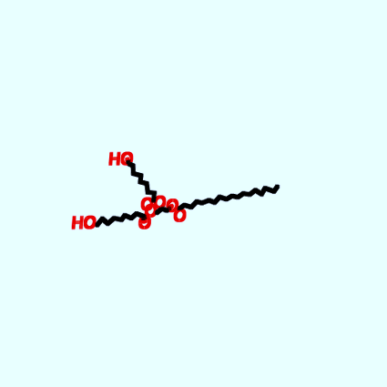 CCCCCCCCCCCCCCCCCC(=O)OCC(COC(=O)CCCCCCCCO)OC(=O)CCCCCCCCO